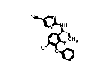 CC[C@@H](Nc1ncc(C#N)cn1)c1ccc(Cl)c(Oc2ccccc2)c1F